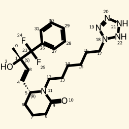 C[C@](O)(C=C[C@H]1CCCC(=O)N1CCCCCCN1N=NNN1)C(F)(F)c1ccccc1